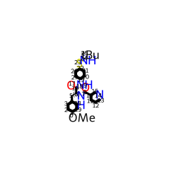 COc1ccc(C[C@H](NC(=O)c2cccnc2)C(=O)Nc2ccc(SNC(C)(C)C)cc2)cc1